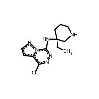 CC[C@@]1(Nc2nnc(Cl)c3ccnn23)CCCNC1